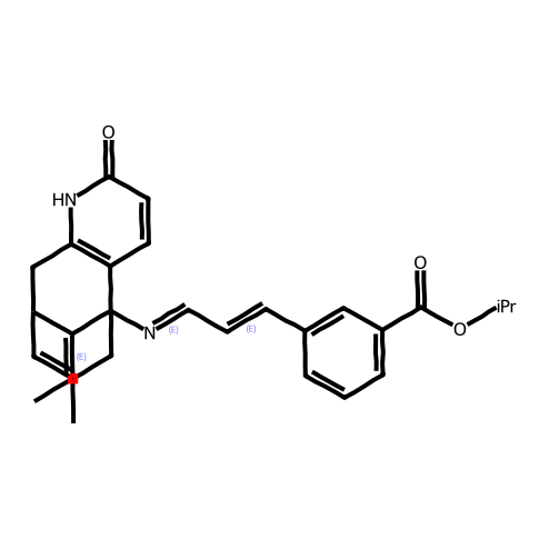 C/C=C1\C2C=C(C)CC1(/N=C/C=C/c1cccc(C(=O)OC(C)C)c1)c1ccc(=O)[nH]c1C2